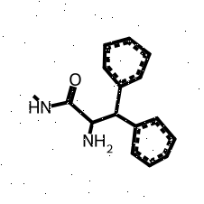 CNC(=O)C(N)C(c1ccccc1)c1ccccc1